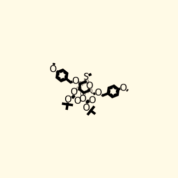 COc1ccc(COC[C@H]2O[C@@H](SC)[C@H](OCc3ccc(OC)cc3)[C@@H](OC(=O)OC(C)(C)C)[C@H]2OC(=O)OC(C)(C)C)cc1